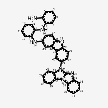 Nc1ccccc1Nc1ccccc1Nc1ccc2oc3ccc(-n4c5ccccc5n5c6ccccc6nc45)cc3c2c1